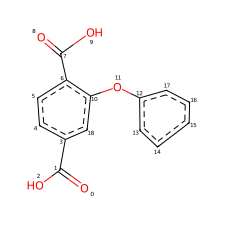 O=C(O)c1ccc(C(=O)O)c(Oc2ccccc2)c1